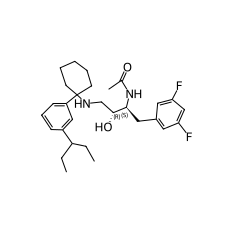 CCC(CC)c1cccc(C2(NC[C@@H](O)[C@H](Cc3cc(F)cc(F)c3)NC(C)=O)CCCCC2)c1